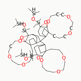 CCC(C12CCC13CCCOCCOCCCOC31OC1([Si](C)(C)O[SiH](C)C)CC2)(C12CCC13CCCOCCOCCCOC31OC1([Si](C)(C)O[SiH](C)C)CC2)C12CCC13CCCOCCOCCCOC31OC1([Si](C)(C)O[SiH](C)C)CC2